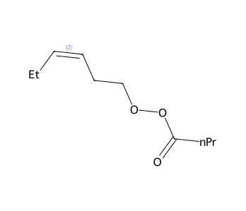 CC/C=C\CCOOC(=O)CCC